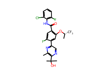 Cc1nc(-c2cc(O[C@@H](C)C(F)(F)F)c(C(=O)Nc3c(F)cccc3Cl)cc2F)cnc1C(C)(C)O